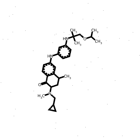 CC(C)OCC(C)(C)Nc1cccc(Nc2ccc3c(c2)C(C)CC(N(C)CC2CC2)C3=O)c1